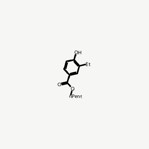 CCCCCOC(=O)c1ccc(O)c(CC)c1